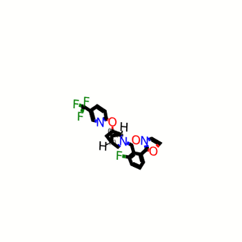 O=C(c1c(F)cccc1-c1ncco1)N1C[C@H]2C[C@@H](Oc3ccc(C(F)(F)F)cn3)[C@@H]1C2